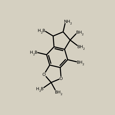 Bc1c2c(c(B)c3c1C(B)C(N)C3(B)B)OC(B)(B)O2